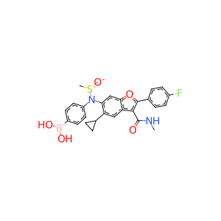 CNC(=O)c1c(-c2ccc(F)cc2)oc2cc(N(c3ccc(B(O)O)cc3)[S+](C)[O-])c(C3CC3)cc12